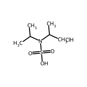 CC(C)N(C(C)C)S(=O)(=O)O.Cl